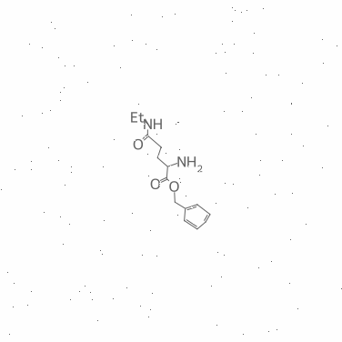 CCNC(=O)CCC(N)C(=O)OCc1ccccc1